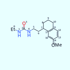 CCNC(=O)NCCC1CCCc2ccc(OC)cc21